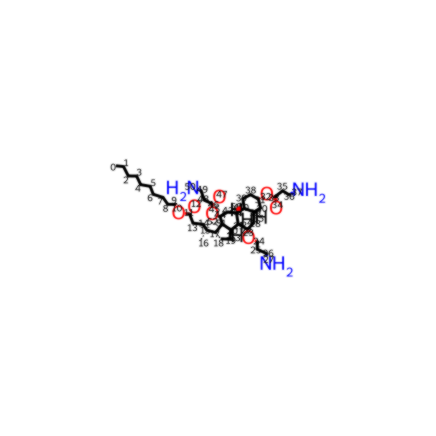 CCCCCCCCCCOC(=O)CC[C@@H](C)[C@H]1CC[C@H]2[C@@H]3[C@H](OCCCN)C[C@@H]4C[C@H](OC(=O)CCN)CC[C@]4(C)[C@H]3C[C@H](OC(=O)CCN)[C@]12C